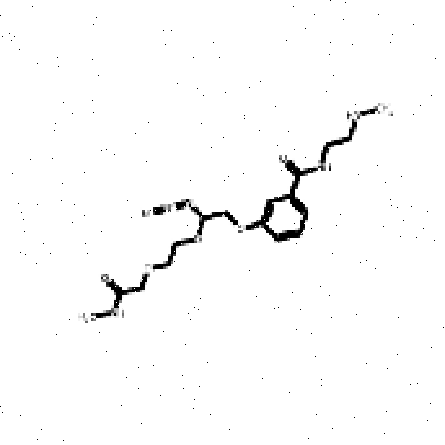 CNCCNC(=O)c1cccc(OCC(N=[N+]=[N-])OCCOCC(=O)NC)c1